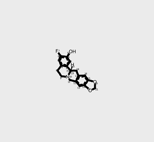 Oc1cc2c(cc1F)CCN1Cc3cc4c(cc3C[C@@H]21)OCO4